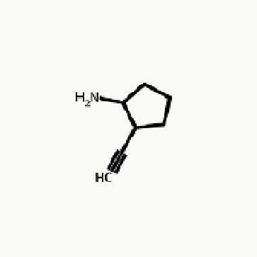 C#CC1CCCC1N